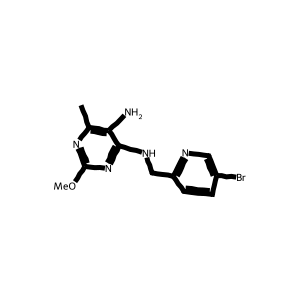 COc1nc(C)c(N)c(NCc2ccc(Br)cn2)n1